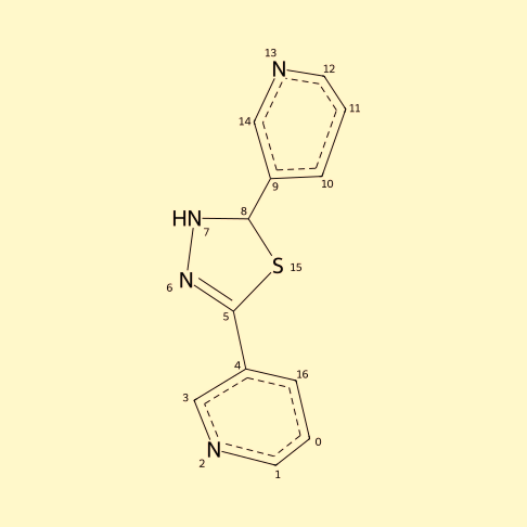 c1cncc(C2=NNC(c3cccnc3)S2)c1